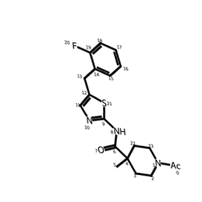 CC(=O)N1CCC(C)(C(=O)Nc2ncc(Cc3ccccc3F)s2)CC1